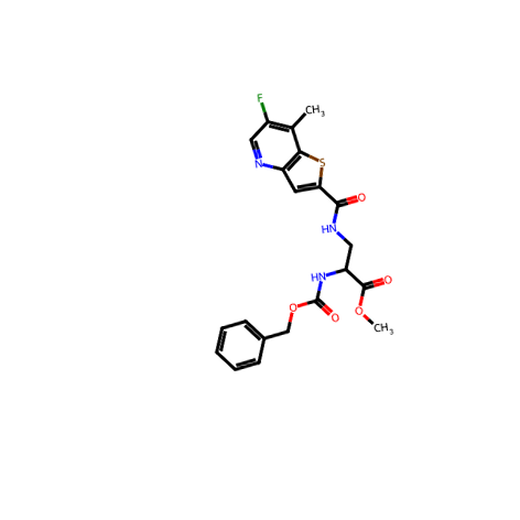 COC(=O)C(CNC(=O)c1cc2ncc(F)c(C)c2s1)NC(=O)OCc1ccccc1